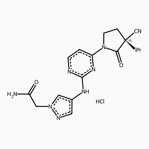 CC(C)[C@]1(C#N)CCN(c2ccnc(Nc3cnn(CC(N)=O)c3)n2)C1=O.Cl